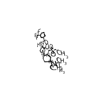 CCS(=O)(=O)C[C@H]1C[C@H](N(C)C(C)C)CC[C@@H]1N1CC[C@H](NC(=O)c2cccc(C(F)(F)F)c2)C1=O